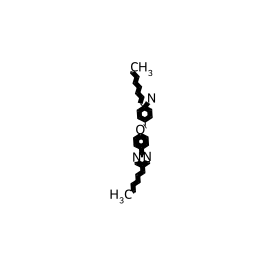 CCCCCCCC[C@]1(C#N)CC[C@H](COc2ccc(-c3ncc(CCCCCC)cn3)cc2)CC1